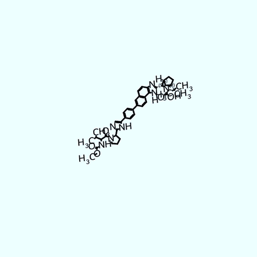 COC(=O)NC(C(=O)N1CCCC1c1ncc(-c2ccc(-c3ccc4c(ccc5nc([C@@H]6[C@H]7CC[C@](C(C)(C)C)(C7)N6C(=O)O)[nH]c54)c3)cc2)[nH]1)C(C)C